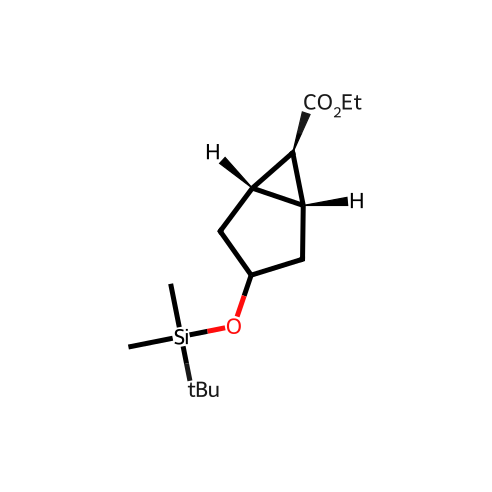 CCOC(=O)[C@H]1[C@@H]2CC(O[Si](C)(C)C(C)(C)C)C[C@@H]21